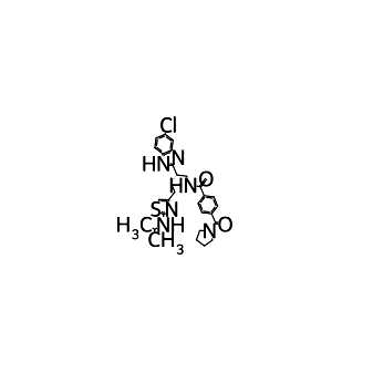 CC(C)Nc1nc(CC[C@@H](CNC(=O)c2ccc(C(=O)N3CCCC3)cc2)c2nc3cc(Cl)ccc3[nH]2)cs1